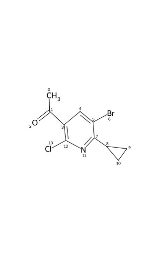 CC(=O)c1cc(Br)c(C2CC2)nc1Cl